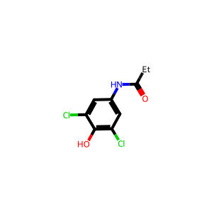 CCC(=O)Nc1cc(Cl)c(O)c(Cl)c1